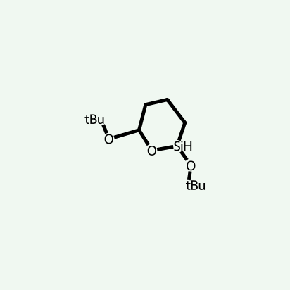 CC(C)(C)OC1CCC[SiH](OC(C)(C)C)O1